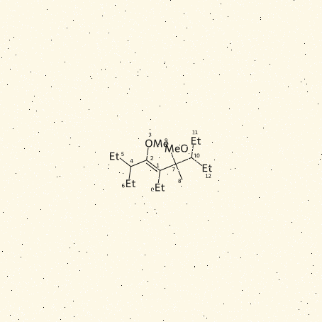 CC/C(=C(/OC)C(CC)CC)C(C)(OC)C(CC)CC